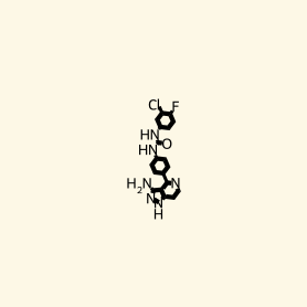 Nc1n[nH]c2ccnc(-c3ccc(NC(=O)Nc4ccc(F)c(Cl)c4)cc3)c12